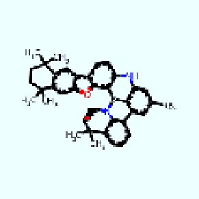 CC(C)(C)c1cc2c3c(c1)-c1cccc4c1N(B3c1c(ccc3c1oc1cc5c(cc13)C(C)(C)CCC5(C)C)N2)c1ccccc1C4(C)C